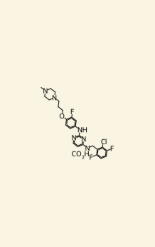 CN1CCN(CCCOc2ccc(Nc3nccc(N(Cc4c(F)ccc(F)c4Cl)C(=O)O)n3)cc2F)CC1